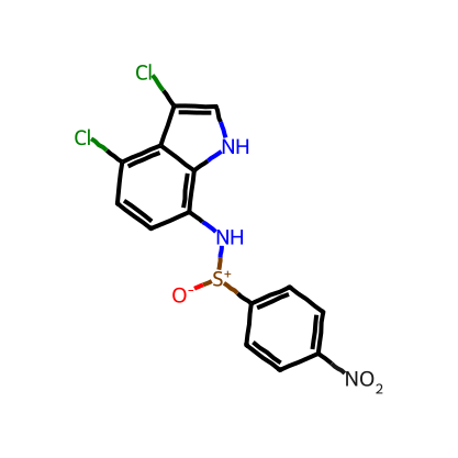 O=[N+]([O-])c1ccc([S+]([O-])Nc2ccc(Cl)c3c(Cl)c[nH]c23)cc1